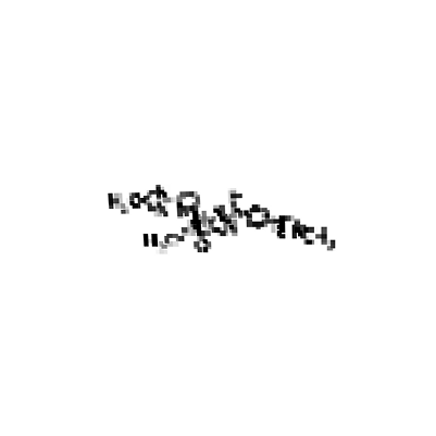 C=CCn1c(=O)c2cnc(Nc3ccc(N4CCN(C)CC4)cc3)nc2n1-c1cccc(-c2ncc(C)cn2)n1